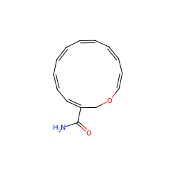 NC(=O)C1=CC=CC=CC=CC=CC=COC1